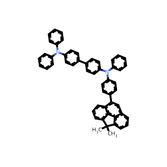 CC1(C)c2cccc3cc(-c4ccc(N(c5ccccc5)c5ccc(-c6ccc(N(c7ccccc7)c7ccccc7)cc6)cc5)cc4)c4cccc1c4c23